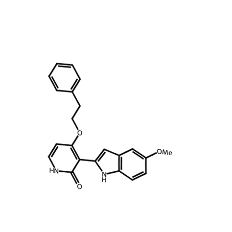 COc1ccc2[nH]c(-c3c(OCCc4ccccc4)cc[nH]c3=O)cc2c1